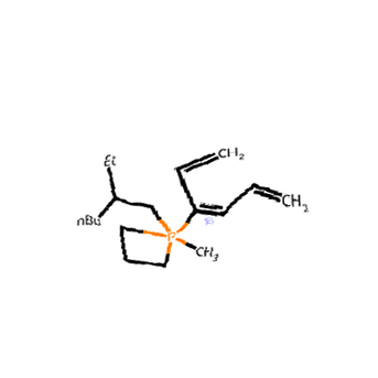 C=C/C=C(\C=C)P1(C)(CC(CC)CCCC)CCC1